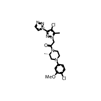 COc1cc(N2CCN(C(=O)Cn3nc(-n4ccnn4)c(Cl)c3C)[C@@H](C)C2)ccc1Cl